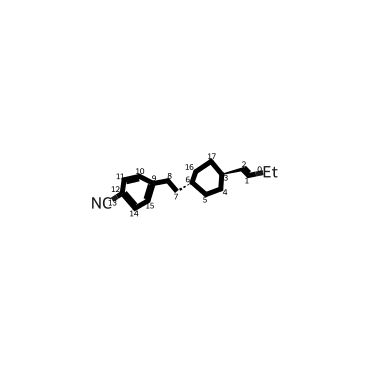 CC/C=C/[C@H]1CC[C@H](CCc2ccc(C#N)cc2)CC1